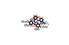 COc1c(C(C)(C)C)cc(C(O)(c2cc(C(C)(C)C)c(OC)c(C(C)(C)C)c2)C(Cc2ccccc2)N=Cc2cc([N+](=O)[O-])ccc2O)cc1C(C)(C)C